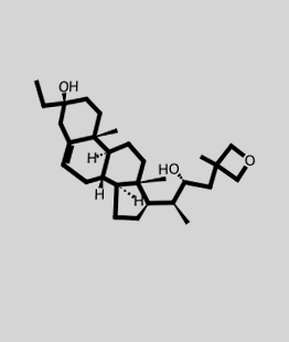 CC[C@]1(O)CC[C@@]2(C)C(=CC[C@H]3[C@@H]4CC[C@H]([C@H](C)[C@H](O)CC5(C)COC5)[C@@]4(C)CC[C@@H]32)C1